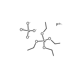 CCO[Si](OCC)(OCC)OCC.[O-][Si]([O-])([O-])[O-].[P+4]